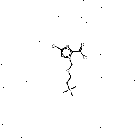 CCC(=O)c1nc(Cl)cn1COCC[Si](C)(C)C